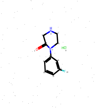 Cl.O=C1CNCCN1c1cccc(F)c1